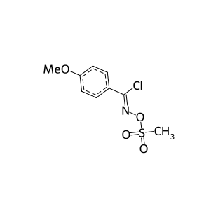 COc1ccc(C(Cl)=NOS(C)(=O)=O)cc1